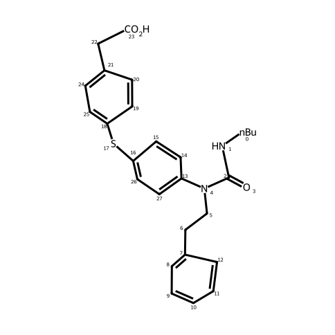 CCCCNC(=O)N(CCc1ccccc1)c1ccc(Sc2ccc(CC(=O)O)cc2)cc1